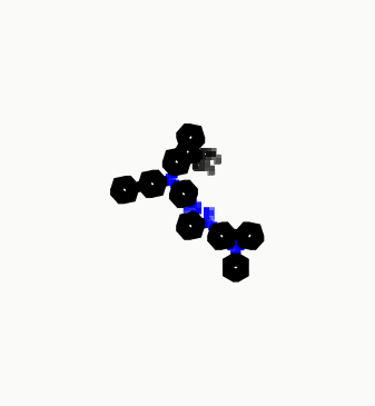 CC1(C)c2ccccc2-c2ccc(N(c3ccc(Nc4ccccc4Nc4ccc5c(c4)c4ccccc4n5-c4ccccc4)cc3)c3ccc(-c4ccccc4)cc3)cc21